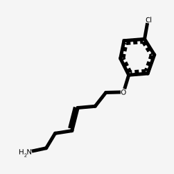 NCC/C=C/CCOc1ccc(Cl)cc1